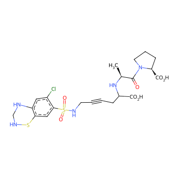 C[C@H](NC(CC#CCNS(=O)(=O)c1cc2c(cc1Cl)NCNS2)C(=O)O)C(=O)N1CCC[C@H]1C(=O)O